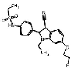 CCN1c2cc(OCCF)ccc2C(C#N)C1c1ccc(NS(=O)(=O)CC)cc1